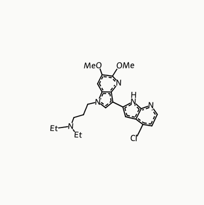 CCN(CC)CCCn1cc(-c2cc3c(Cl)ccnc3[nH]2)c2nc(OC)c(OC)cc21